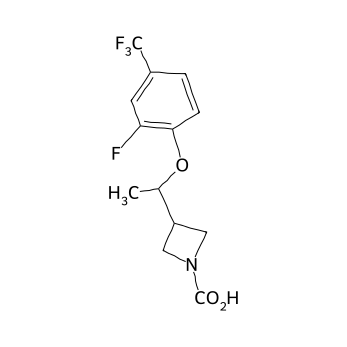 CC(Oc1ccc(C(F)(F)F)cc1F)C1CN(C(=O)O)C1